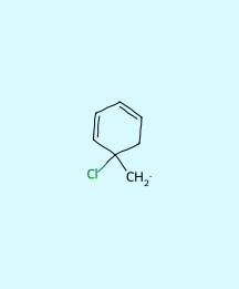 [CH2]C1(Cl)C=CC=CC1